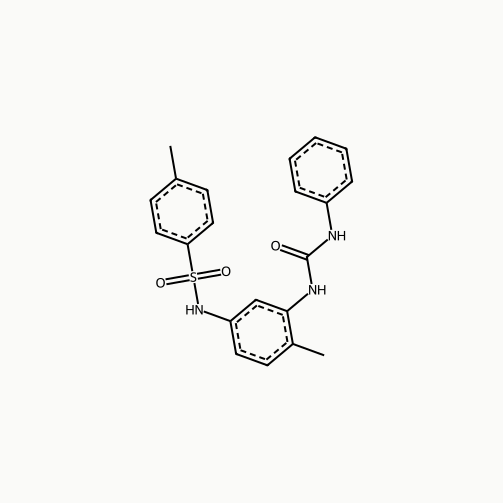 Cc1ccc(S(=O)(=O)Nc2ccc(C)c(NC(=O)Nc3ccccc3)c2)cc1